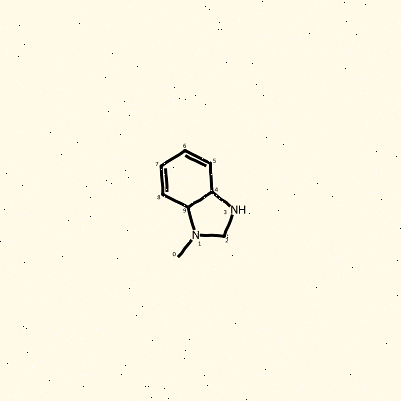 CN1[C]NC2C=CC=CC21